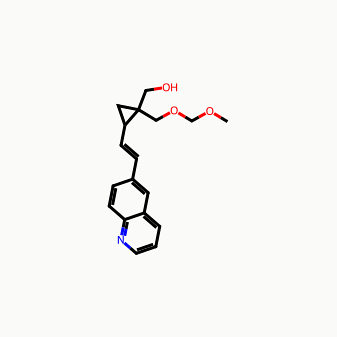 COCOCC1(CO)CC1/C=C/c1ccc2ncccc2c1